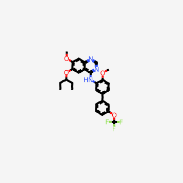 CCC(CC)Oc1cc2c(Nc3cc(-c4cccc(OC(F)(F)F)c4)ccc3OC)ncnc2cc1OC